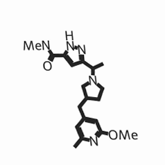 CNC(=O)c1cc(C(C)N2CCC(Cc3cc(C)nc(OC)c3)C2)n[nH]1